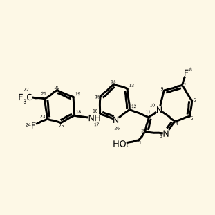 OCc1nc2ccc(F)cn2c1-c1cccc(Nc2ccc(C(F)(F)F)c(F)c2)n1